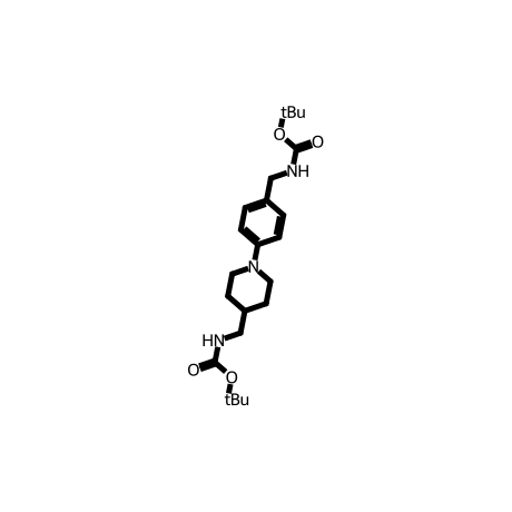 CC(C)(C)OC(=O)NCc1ccc(N2CCC(CNC(=O)OC(C)(C)C)CC2)cc1